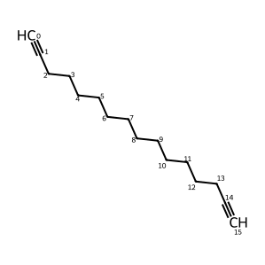 C#CCCCCCCCCCCCCC#C